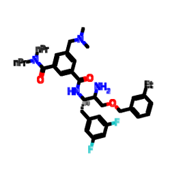 CCCN(CCC)C(=O)c1cc(CN(C)C)cc(C(=O)N[C@@H](Cc2cc(F)cc(F)c2)C(N)COCc2cccc(CC)c2)c1